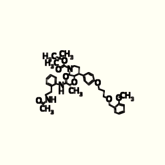 COc1ccccc1COCCCOc1ccc(C2CCN(C(=O)OC(C)(C)C)CC2O[C@H](C)C(=O)Nc2ccccc2CCNC(C)=O)cc1